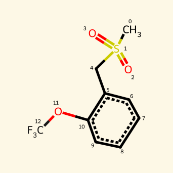 CS(=O)(=O)Cc1ccccc1OC(F)(F)F